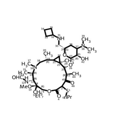 CCCSC1C(=O)O[C@H](CC)[C@@](C)(OC)[C@H](NC=O)[C@@H](C)N(C)C[C@H](C)C2C[C@@]2(C)[C@H](O[C@@H]2O[C@H](CNC3CCC3)CC(N(C)C)[C@H]2O)[C@@H](C)C1=O